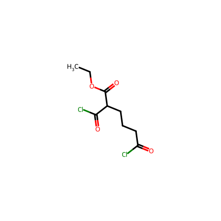 CCOC(=O)C(CCCC(=O)Cl)C(=O)Cl